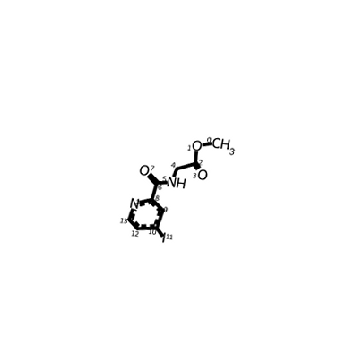 COC(=O)CNC(=O)c1cc(I)ccn1